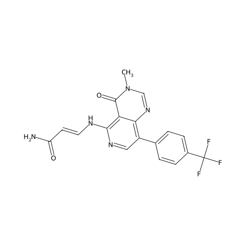 Cn1cnc2c(-c3ccc(C(F)(F)F)cc3)cnc(NC=CC(N)=O)c2c1=O